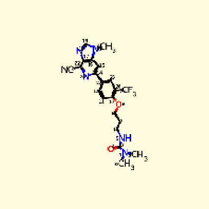 CN(C)C(=O)NCCCOc1ccc(-c2cc3c(ncn3C)c(C#N)n2)cc1C(F)(F)F